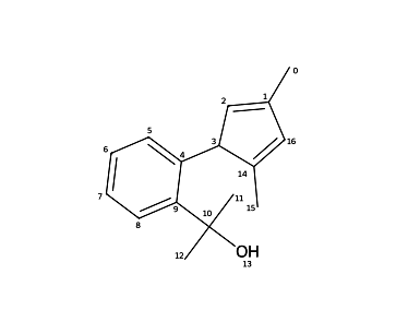 CC1=CC(c2ccccc2C(C)(C)O)C(C)=C1